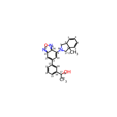 CC12C=CC=CC1CN(c1cc(-c3cccc(C(O)C(F)(F)F)c3)cc3nonc13)C2